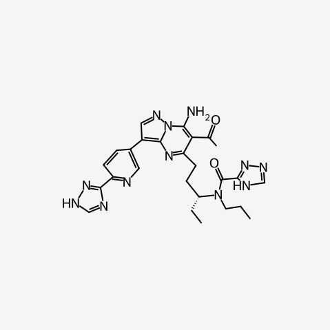 CCCN(C(=O)c1nnc[nH]1)[C@H](CC)CCc1nc2c(-c3ccc(-c4nc[nH]n4)nc3)cnn2c(N)c1C(C)=O